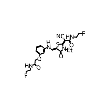 CCn1c(=C(C#N)C(=O)NCCF)sc(=CNc2cccc(OCC(=O)NCCF)c2)c1=O